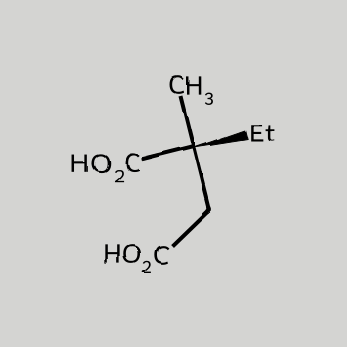 CC[C@@](C)(CC(=O)O)C(=O)O